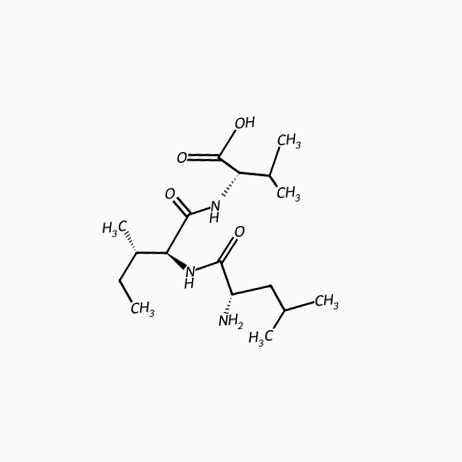 CC[C@H](C)[C@H](NC(=O)[C@@H](N)CC(C)C)C(=O)N[C@H](C(=O)O)C(C)C